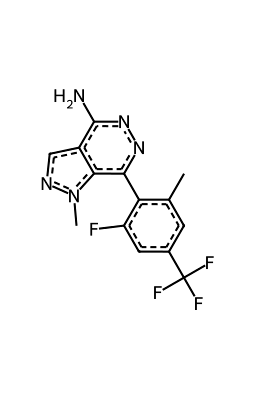 Cc1cc(C(F)(F)F)cc(F)c1-c1nnc(N)c2cnn(C)c12